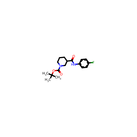 CC(C)(C)OC(=O)N1CCCC(C(=O)Nc2ccc(F)cc2)C1